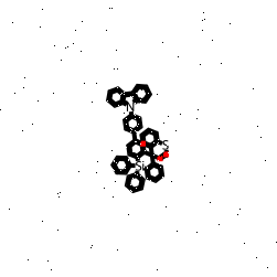 c1ccc([Si]2(c3ccccc3)c3ccccc3C3(c4ccccc4Sc4ccccc43)c3cc(-c4ccc(-n5c6ccccc6c6ccccc65)cc4)ccc32)cc1